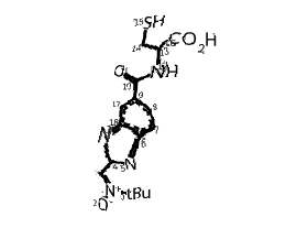 CC(C)(C)/[N+]([O-])=C\C1N=c2ccc(C(=O)NC(CS)C(=O)O)cc2=N1